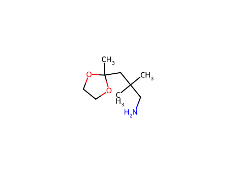 CC(C)(CN)CC1(C)OCCO1